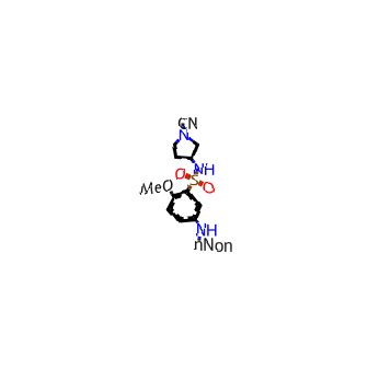 CCCCCCCCCNc1ccc(OC)c(S(=O)(=O)NC2CCN(C#N)C2)c1